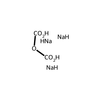 O=C(O)OC(=O)O.[NaH].[NaH].[NaH]